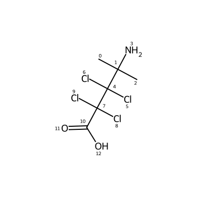 CC(C)(N)C(Cl)(Cl)C(Cl)(Cl)C(=O)O